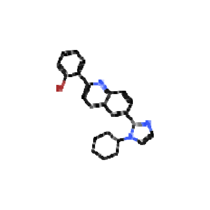 Brc1ccccc1-c1ccc2cc(-c3nccn3C3CCCCC3)ccc2n1